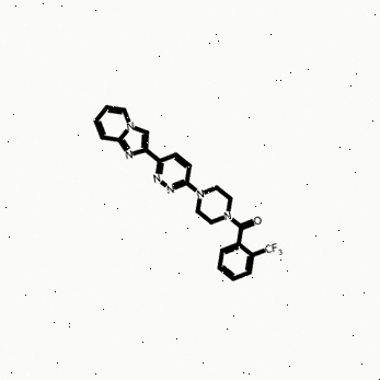 O=C(c1ccccc1C(F)(F)F)N1CCN(c2ccc(-c3cn4ccccc4n3)nn2)CC1